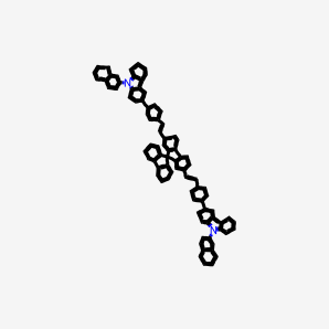 C(=C\c1ccc2c(c1)C1(c3ccccc3-c3ccccc31)c1cc(/C=C/c3ccc(-c4ccc5c(c4)c4ccccc4n5-c4ccc5ccccc5c4)cc3)ccc1-2)/c1ccc(-c2ccc3c(c2)c2ccccc2n3-c2ccc3ccccc3c2)cc1